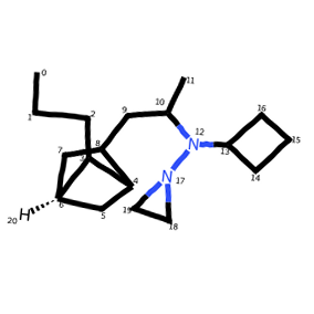 CCCC1C2C[C@H]1CC2CC(C)N(C1CCC1)N1CC1